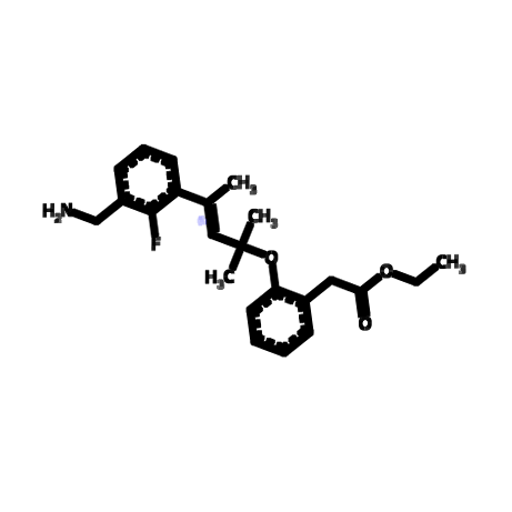 CCOC(=O)Cc1ccccc1OC(C)(C)/C=C(\C)c1cccc(CN)c1F